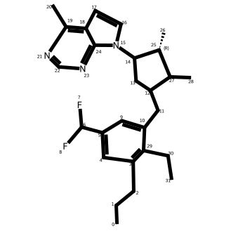 CCCc1cc(C(F)F)cc(CC2CC(n3ccc4c(C)ncnc43)[C@H](C)C2C)c1CC